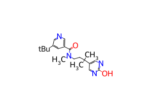 CN(CCC(C)(C)c1cnc(O)nc1)C(=O)c1cncc(C(C)(C)C)c1